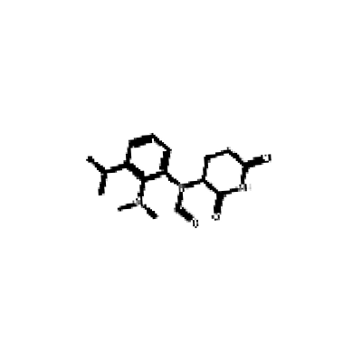 CC(C)c1cccc(N(C=O)C2CCC(=O)NC2=O)c1N(C)C